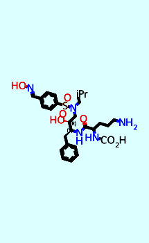 CC(C)CN(C[C@@H](O)[C@H](Cc1ccccc1)NC(=O)C(CCCN)NC(=O)O)S(=O)(=O)c1ccc(C=NO)cc1